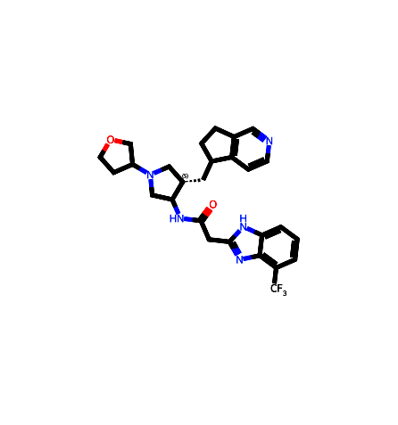 O=C(Cc1nc2c(C(F)(F)F)cccc2[nH]1)NC1CN(C2CCOC2)C[C@@H]1CC1CCc2cnccc21